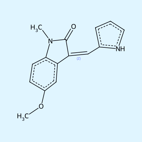 COc1ccc2c(c1)/C(=C/c1ccc[nH]1)C(=O)N2C